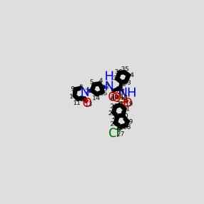 O=C(Nc1ccc(-n2ccccc2=O)cc1)[C@H](NS(=O)(=O)c1ccc2cc(Cl)ccc2c1)c1ccccc1